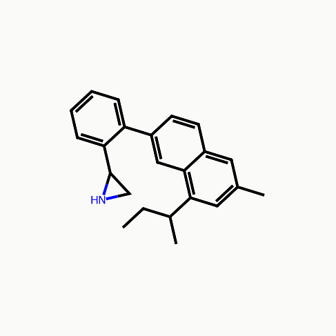 CCC(C)c1cc(C)cc2ccc(-c3ccccc3C3CN3)cc12